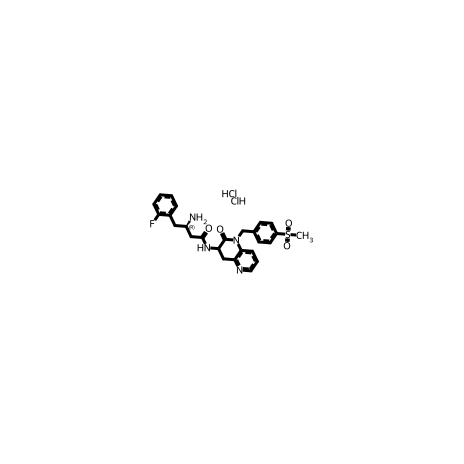 CS(=O)(=O)c1ccc(CN2C(=O)C(NC(=O)C[C@H](N)Cc3ccccc3F)Cc3ncccc32)cc1.Cl.Cl